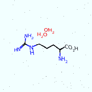 N=C(N)NCCCC(N)C(=O)O.O.O